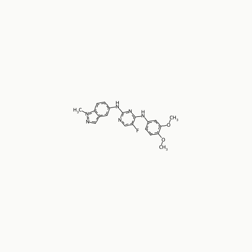 COc1ccc(Nc2nc(Nc3ccc4c(cnn4C)c3)ncc2F)cc1OC